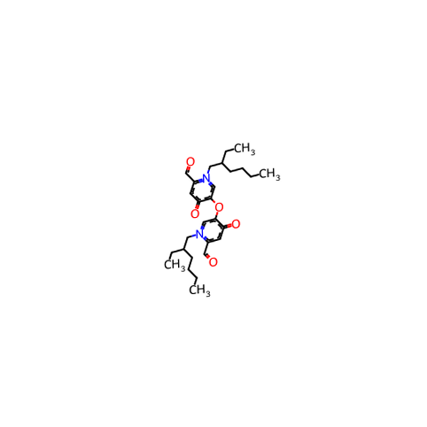 CCCCC(CC)Cn1cc(Oc2cn(CC(CC)CCCC)c(C=O)cc2=O)c(=O)cc1C=O